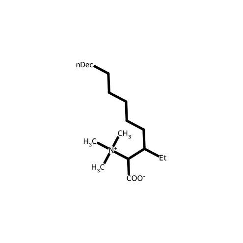 CCCCCCCCCCCCCCCC(CC)C(C(=O)[O-])[N+](C)(C)C